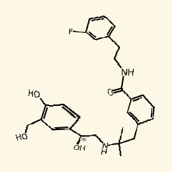 CC(C)(Cc1cccc(C(=O)NCCc2cccc(F)c2)c1)NC[C@@H](O)c1ccc(O)c(CO)c1